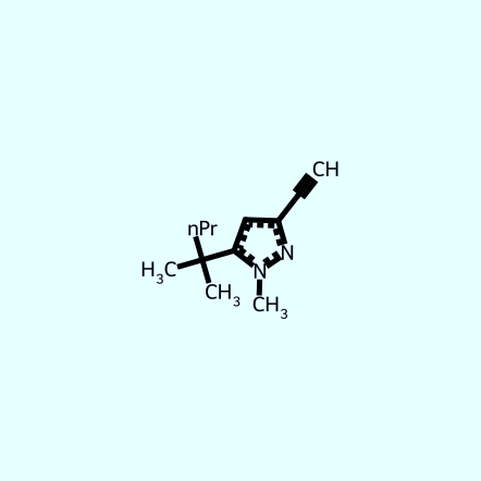 C#Cc1cc(C(C)(C)CCC)n(C)n1